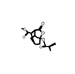 C=C(C)C(=O)OC12CC3CC1C(C(=O)O2)C3C(=O)OC